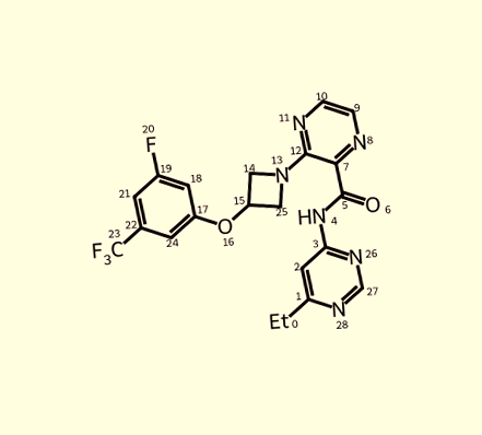 CCc1cc(NC(=O)c2nccnc2N2CC(Oc3cc(F)cc(C(F)(F)F)c3)C2)ncn1